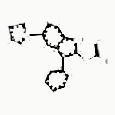 O=C(O)Oc1[nH]c2ccc(-n3cccc3)cc2c1-c1ccccc1